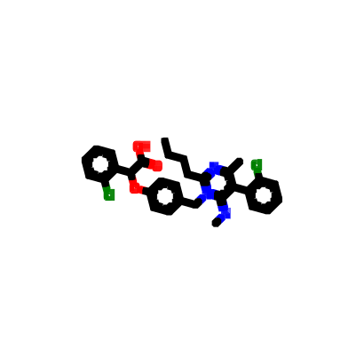 CCCCc1nc(C)c(-c2ccccc2Cl)c(=NC)n1Cc1ccc(OC(C(=O)O)c2ccccc2Cl)cc1